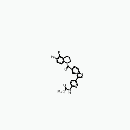 COC(=O)Nc1ccc(-c2cnc3ccc(C(=O)N4CCCc5c4ccc(Br)c5F)cn23)cn1